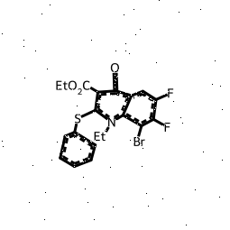 CCOC(=O)c1c(Sc2ccccc2)n(CC)c2c(Br)c(F)c(F)cc2c1=O